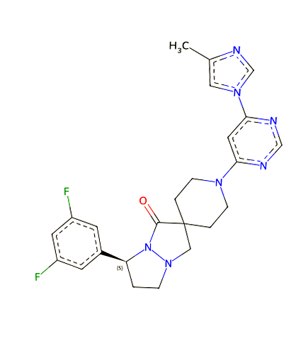 Cc1cn(-c2cc(N3CCC4(CC3)CN3CC[C@@H](c5cc(F)cc(F)c5)N3C4=O)ncn2)cn1